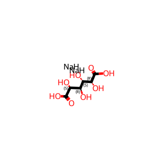 O=C(O)[C@@H](O)[C@H](O)[C@H](O)[C@@H](O)C(=O)O.[NaH].[NaH]